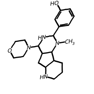 CN1C(c2cccc(O)c2)NC(N2CCOCC2)C2CC3NCCCC3C21